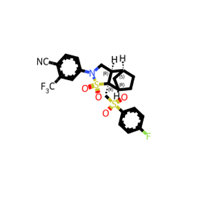 N#Cc1ccc(N2C[C@H]3[C@H]4CC[C@H](C4)[C@@]3(CS(=O)(=O)c3ccc(F)cc3)S2(=O)=O)cc1C(F)(F)F